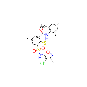 CC(=O)c1cc(C)cc(C)c1NC(=O)C1=CC(C)=CC(S(=O)(=O)Nc2onc(C)c2Cl)C1=S